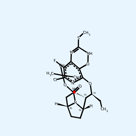 CC[C@H](Oc1nc(Cl)c(F)c2c1ONC(SC)=N2)[C@H]1NC[C@H]2CC[C@@H]1N2C(=O)OC(C)(C)C